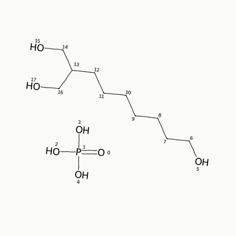 O=P(O)(O)O.OCCCCCCCC(CO)CO